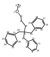 [Zr][O]CCCC(Cc1ccccc1)(Cc1ccccc1)Cc1ccccc1